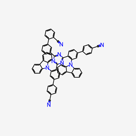 N#Cc1ccc(-c2ccc(-c3nc(-c4cccc(-c5ccccc5C#N)c4)nc(-c4ccc(-c5ccc(C#N)cc5)cc4-n4c5ccccc5c5ccccc54)n3)c(-n3c4ccccc4c4ccccc43)c2)cc1